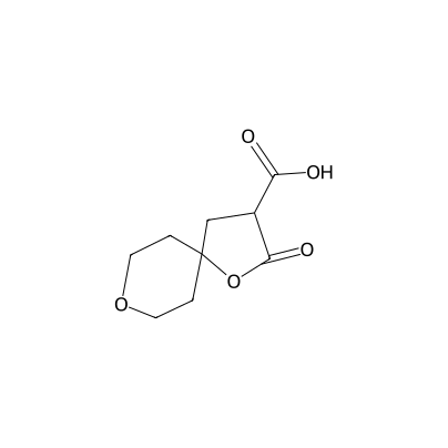 O=C(O)C1CC2(CCOCC2)OC1=O